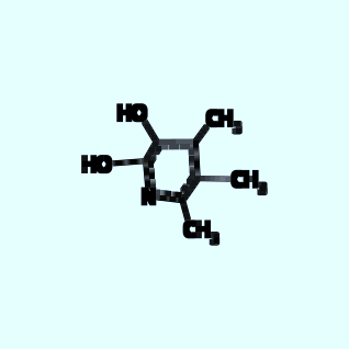 Cc1nc(O)c(O)c(C)c1C